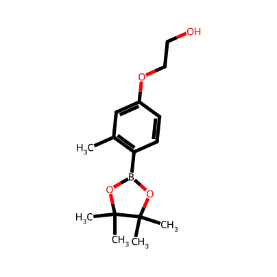 Cc1cc(OCCO)ccc1B1OC(C)(C)C(C)(C)O1